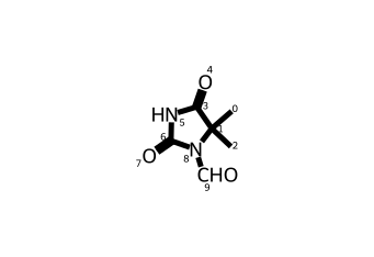 CC1(C)C(=O)NC(=O)N1C=O